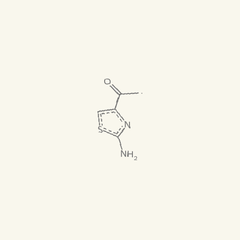 [CH2]C(=O)c1csc(N)n1